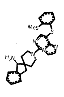 CSc1ccccc1Sc1cnc(N2CCC3(CC2)Cc2ccccc2[C@H]3N)n2ccnc12